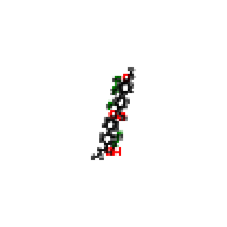 CCCC(O)c1ccc(C2=CCC(OC(=O)c3ccc(-c4ccc(OCC)c(F)c4F)cc3F)CC2)c(F)c1F